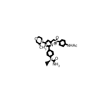 CC(=O)Nc1ccc(S(=O)(=O)Cc2cc(N3CCOC[C@@H]3C)nc(-c3ccc(N(C(N)=O)C4CC4)cc3)n2)cc1